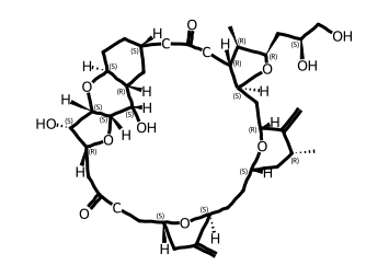 C=C1C[C@@H]2CCC(=O)C[C@H]3O[C@H]4[C@@H](O)[C@H]5C[C@H](CC[C@@H]5O[C@H]4[C@H]3O)CC(=O)C[C@@H]3[C@@H](C)[C@@H](C[C@H](O)CO)O[C@H]3C[C@H]3O[C@@H](CC[C@@H]1O2)C[C@@H](C)C3=C